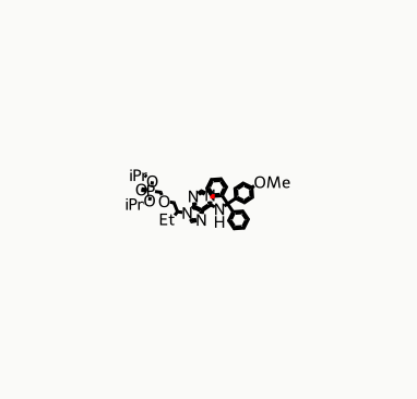 CCC(COCP(=O)(OC(C)C)OC(C)C)n1cnc2c(NC(c3ccccc3)(c3ccccc3)c3ccc(OC)cc3)ncnc21